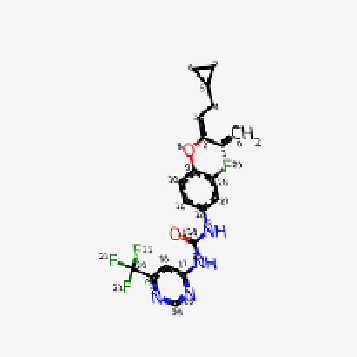 C=C/C(=C\CC1CC1)Oc1ccc(NC(=O)Nc2cc(C(F)(F)F)ncn2)cc1F